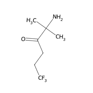 CC(C)(N)C(=O)CCC(F)(F)F